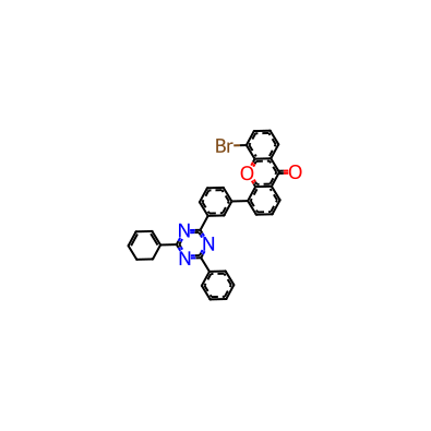 O=c1c2cccc(Br)c2oc2c(-c3cccc(-c4nc(C5=CC=CCC5)nc(-c5ccccc5)n4)c3)cccc12